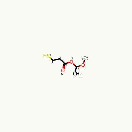 CCOC(C)OC(=O)CCS